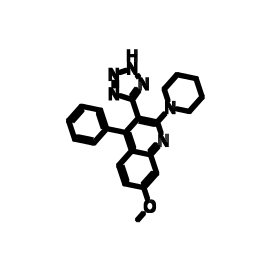 COc1ccc2c(-c3ccccc3)c(-c3nn[nH]n3)c(N3CCCCC3)nc2c1